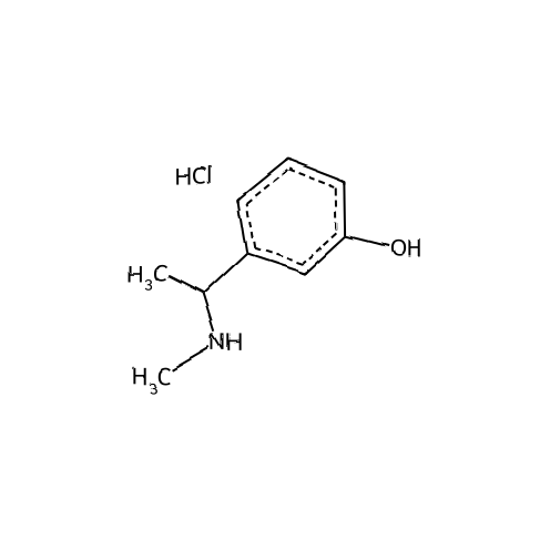 CNC(C)c1cccc(O)c1.Cl